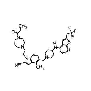 CCC(=O)N1CCCN(CCn2c(C#N)cc3c(C)c(CN4CCC(Nc5ncnc6sc(CC(F)(F)F)cc56)CC4)ccc32)CC1